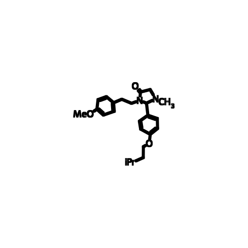 COc1ccc(CCN2C(=O)CN(C)C2c2ccc(OCCC(C)C)cc2)cc1